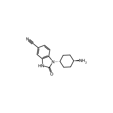 N#Cc1ccc2c(c1)[nH]c(=O)n2[C@H]1CC[C@H](N)CC1